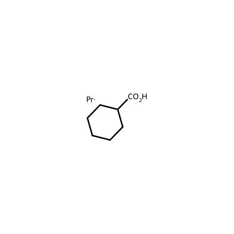 O=C(O)C1CCCCC1.[Pr]